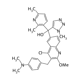 COc1nc2ccc(C(O)(c3ccc(C)nc3C)c3cnnn3C)cc2c(Cl)c1Cc1ccc(N(C)C)cc1